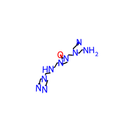 N#CCN(CC#N)CCNCCN1CCN(CCN(CC#N)CCN)C1=O